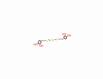 Oc1ccc(CCCSCCSSCCSCCCc2ccc(O)c(O)c2)cc1O